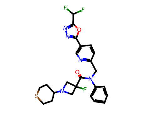 O=C(N(Cc1ccc(-c2nnc(C(F)F)o2)cn1)c1ccccc1)C1(F)CN(C2CCSCC2)C1